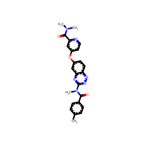 Cc1ccc(C(=O)N(C)c2nnc3ccc(Oc4ccnc(C(=O)N(C)C)c4)cc3n2)cc1